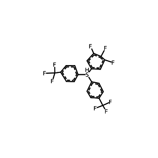 Fc1cc([SH](c2ccc(C(F)(F)F)cc2)c2ccc(C(F)(F)F)cc2)cc(F)c1F